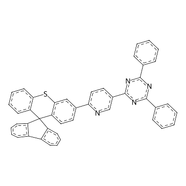 c1ccc(-c2nc(-c3ccccc3)nc(-c3ccc(-c4ccc5c(c4)Sc4ccccc4C54c5ccccc5-c5ccccc54)nc3)n2)cc1